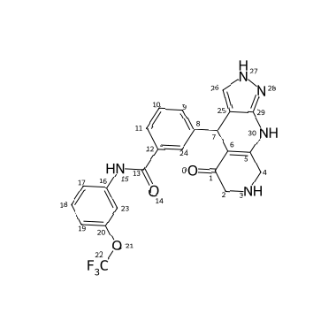 O=C1CNCC2=C1C(c1cccc(C(=O)Nc3cccc(OC(F)(F)F)c3)c1)c1c[nH]nc1N2